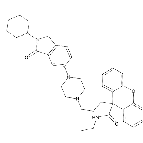 CCNC(=O)C1(CCCN2CCN(c3ccc4c(c3)C(=O)N(C3CCCCC3)C4)CC2)c2ccccc2Oc2ccccc21